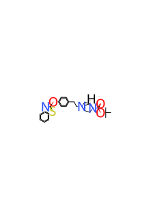 CC(C)(C)OC(=O)N1CC2C[C@H]1CN2CCc1ccc(Oc2nc3ccccc3s2)cc1